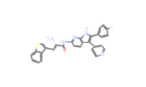 N[C@@H](Cc1csc2ccccc12)C(=O)Nc1ccc2c(-c3ccncc3)c(-c3ccc(F)cc3)[nH]c2n1